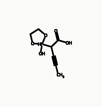 CC#CC(C(=O)O)[PH]1(O)OCCO1